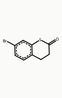 O=C1CCc2ccc(Br)cc2S1